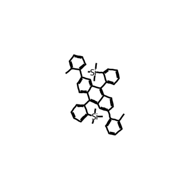 Cc1ccccc1-c1ccc2c(-c3ccccc3[Si](C)(C)C)c3cc(-c4ccccc4C)ccc3c(-c3ccccc3[Si](C)(C)C)c2c1